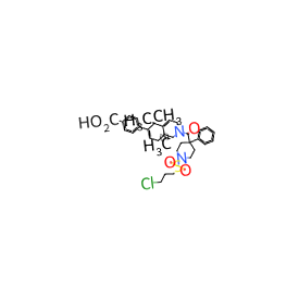 CC1(C)C(c2ccc(C(=O)O)cc2)=CC[C@]2(C)CN(C(=O)C3(c4ccccc4)CCN(S(=O)(=O)CCCCl)CC3)CC=C12